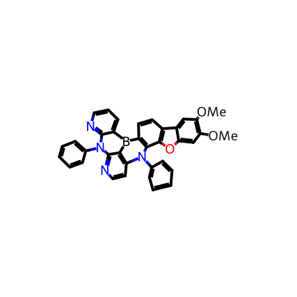 COc1cc2oc3c4c(ccc3c2cc1OC)B1c2cccnc2N(c2ccccc2)c2nccc(c21)N4c1ccccc1